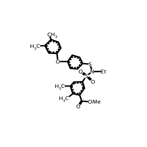 CCN(Sc1ccc(Oc2ccc(C)c(C)c2)cc1)S(=O)(=O)c1cc(C)c(C)c(C(=O)OC)c1